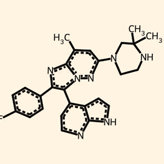 Cc1cc(N2CCNC(C)(C)C2)nn2c(-c3ccnc4[nH]ccc34)c(-c3ccc(F)cc3)nc12